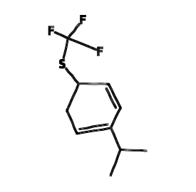 CC(C)C1=CCC(SC(F)(F)F)C=C1